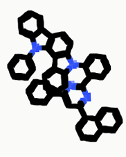 c1ccc(-c2cc(-c3cccc4ccccc34)nc(-c3ccccc3-n3c4ccccc4c4c3ccc3c5ccccc5n(-c5ccccc5)c34)n2)cc1